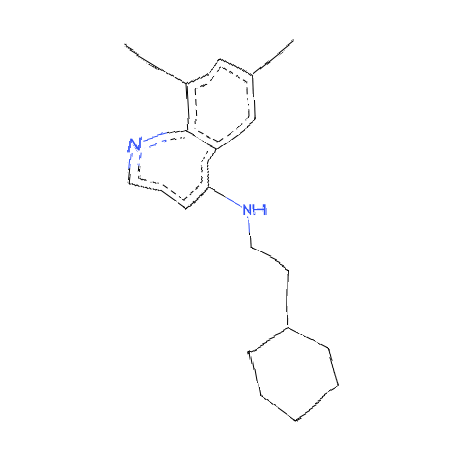 Cc1cc(C)c2nccc(NCCC3CCCCC3)c2c1